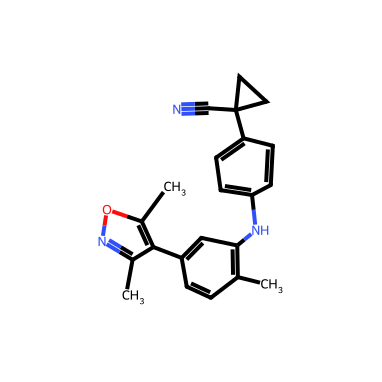 Cc1ccc(-c2c(C)noc2C)cc1Nc1ccc(C2(C#N)CC2)cc1